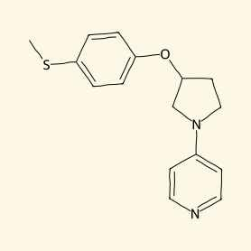 CSc1ccc(OC2CCN(c3ccncc3)C2)cc1